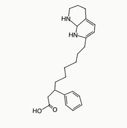 O=C(O)CC(CCCCCCC1=CC=C2CCCNC2N1)c1ccccc1